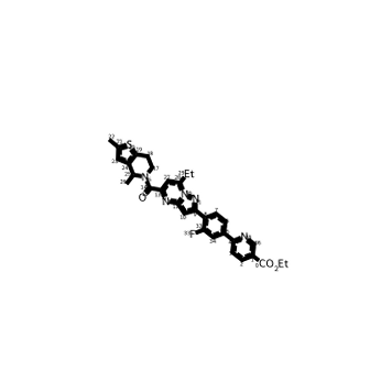 CCOC(=O)c1ccc(-c2ccc(-c3cc4nc(C(=O)N5CCc6sc(C)cc6C5C)cc(CC)n4n3)c(F)c2)nc1